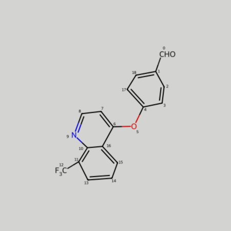 O=Cc1ccc(Oc2ccnc3c(C(F)(F)F)cccc23)cc1